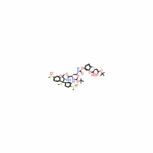 CSC(c1ccc([S+](C)[O-])cc1)(c1ccc([S+](C)[O-])cc1)[C@H](NC(=O)[C@H](CCNC(=O)Oc1ccc(C[C@H](CC(=O)OC(C)(C)C)C(=O)O)cc1)NC(=O)OC(C)(C)C)C(C)=O